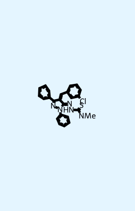 CNC(=S)NN=C1C(=Cc2cccc(Cl)c2)C(c2ccccc2)=NN1c1ccccc1